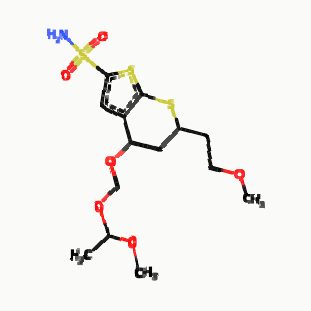 COCCC1CC(OCOC(C)OC)c2cc(S(N)(=O)=O)sc2S1